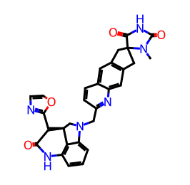 CN1C(=O)NC(=O)C12Cc1cc3ccc(CN4CC5(Cc6ncco6)CC(=O)Nc6cccc4c65)nc3cc1C2